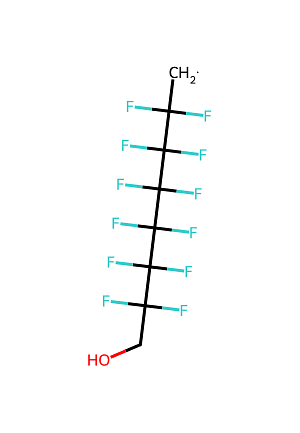 [CH2]C(F)(F)C(F)(F)C(F)(F)C(F)(F)C(F)(F)C(F)(F)CO